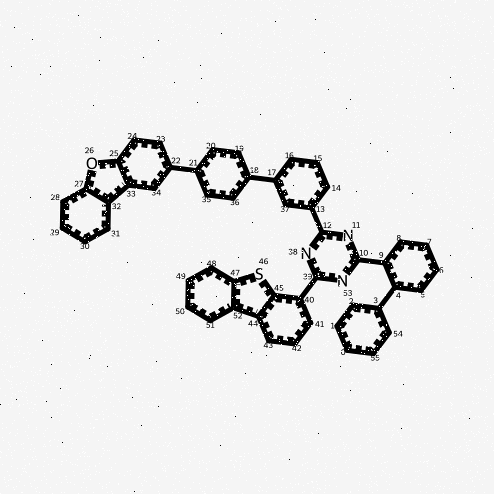 c1ccc(-c2ccccc2-c2nc(-c3cccc(-c4ccc(-c5ccc6oc7ccccc7c6c5)cc4)c3)nc(-c3cccc4c3sc3ccccc34)n2)cc1